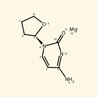 Nc1ccn([C@H]2CCCO2)c(=O)n1.[Mg]